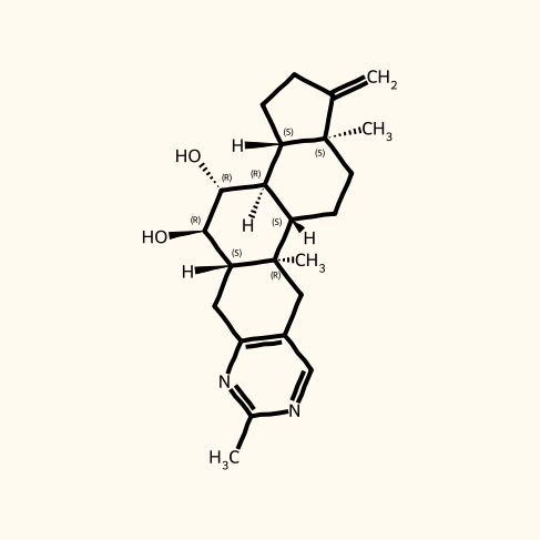 C=C1CC[C@H]2[C@@H]3[C@@H](O)[C@H](O)[C@H]4Cc5nc(C)ncc5C[C@]4(C)[C@H]3CC[C@]12C